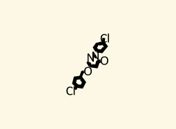 O=c1cc(OCc2ccc(Cl)cc2)cnn1-c1ccc(Cl)cc1